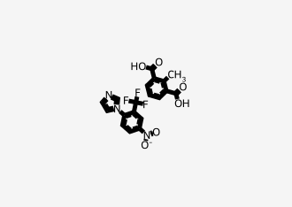 Cc1c(C(=O)O)cccc1C(=O)O.O=[N+]([O-])c1ccc(-n2ccnc2)c(C(F)(F)F)c1